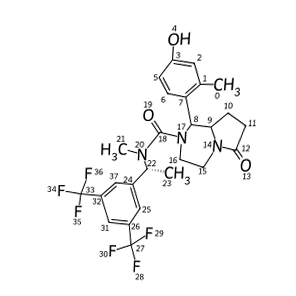 Cc1cc(O)ccc1C1C2CCC(=O)N2CCN1C(=O)N(C)[C@H](C)c1cc(C(F)(F)F)cc(C(F)(F)F)c1